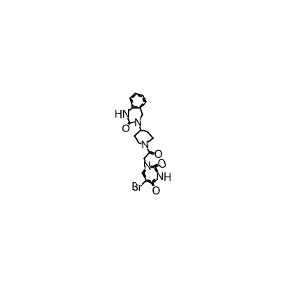 O=C(Cn1cc(Br)c(=O)[nH]c1=O)N1CCC(N2Cc3ccccc3NC2=O)CC1